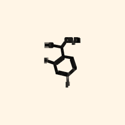 CCOC(=O)C(O)c1ccc(F)cc1F